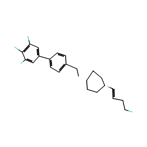 FCCC=C[C@H]1CC[C@H](CCc2ccc(-c3cc(F)c(F)c(F)c3)cc2)CC1